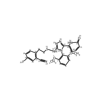 COc1cccc(OC)c1-n1c(NSCCc2ccc(F)cc2C#N)nnc1-c1cccc(=O)[nH]1